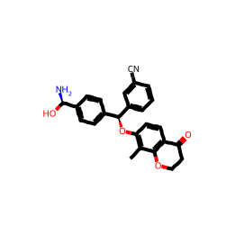 Cc1c(O[C@@H](c2ccc([C@H](N)O)cc2)c2cccc(C#N)c2)ccc2c1OCCC2=O